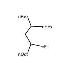 CCCCCCCCC([CH]C(CCCCCC)CCCCCC)CCC